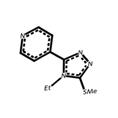 [CH2]Sc1nnc(-c2ccncc2)n1CC